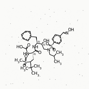 CC(C)CN(C[C@H](O)[C@H](Cc1ccccc1)NC(=O)[C@H](CC(C(C)(C)C)S(C)(=O)=O)NC(=O)O)S(=O)(=O)c1ccc(C=NO)cc1